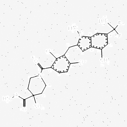 COC(=O)C1(C)CCN(C(=O)c2ccc(Cl)c(Cc3cc4c(C)cc(C(F)(F)P)cc4n3C)c2Cl)CC1